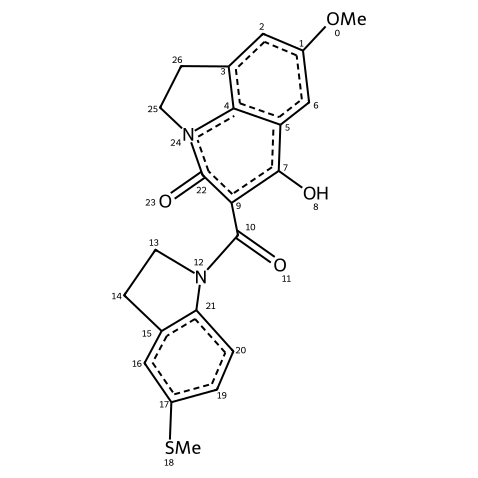 COc1cc2c3c(c1)c(O)c(C(=O)N1CCc4cc(SC)ccc41)c(=O)n3CC2